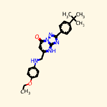 CCOc1ccc(NCc2cc(=O)n3nc(-c4ccc(C(C)(C)C)cc4)nc3[nH]2)cc1